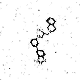 OC(COc1cccc(-c2ccc3nn[nH]c3c2)c1)CN1CCc2ccccc2C1